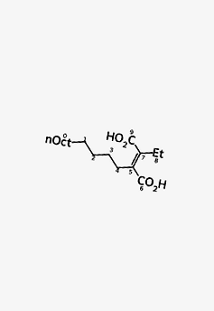 CCCCCCCCCCCCC(C(=O)O)=C(CC)C(=O)O